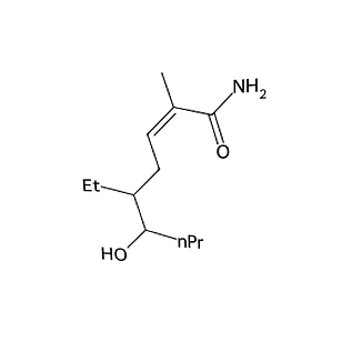 CCCC(O)C(CC)CC=C(C)C(N)=O